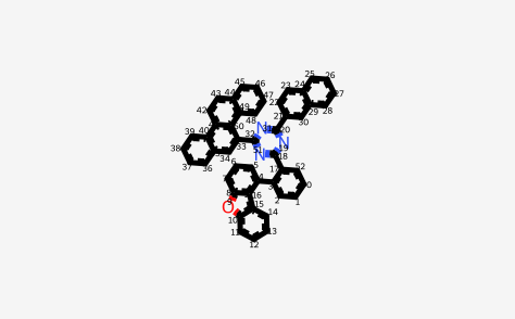 c1ccc(-c2cccc3oc4ccccc4c23)c(-c2nc(-c3ccc4ccccc4c3)nc(-c3cc4ccccc4c4ccc5ccccc5c34)n2)c1